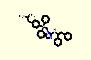 CC(C)Cc1ccc([Si](Cn2ccnc2BC(=Cc2ccccc2)c2ccccc2)(c2ccccc2)c2ccccc2)cc1